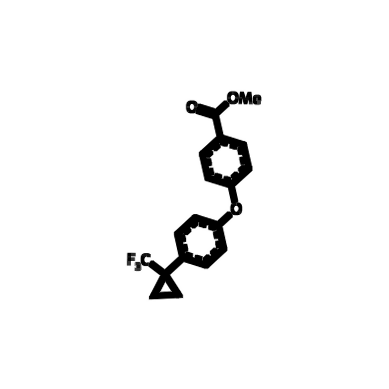 COC(=O)c1ccc(Oc2ccc(C3(C(F)(F)F)CC3)cc2)cc1